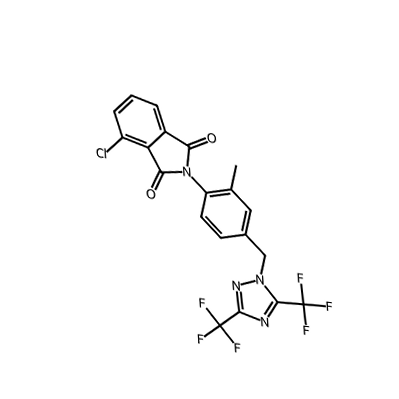 Cc1cc(Cn2nc(C(F)(F)F)nc2C(F)(F)F)ccc1N1C(=O)c2cccc(Cl)c2C1=O